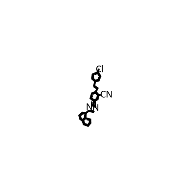 N#Cc1cc(-n2ncc(-c3cccc4ccccc34)n2)ccc1C=Cc1ccc(Cl)cc1